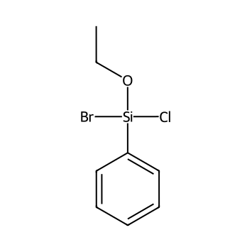 CCO[Si](Cl)(Br)c1ccccc1